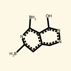 Bc1cc2cnnc(O)c2c(B)n1